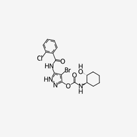 O=C(N[C@@H]1CCCC[C@H]1O)Oc1n[nH]c(NC(=O)c2ccccc2Cl)c1Br